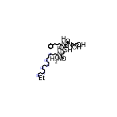 CC/C=C\C/C=C\C/C=C\C/C=C\C/C=C\C/C=C\CCC(=O)N[C@@H](CSSC(C)(C)[C@H](NC(=O)CCCc1ccccc1)C(=O)NC[C@@H](O)CO)C(N)=O